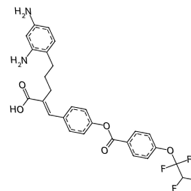 Nc1ccc(CCC/C(=C\c2ccc(OC(=O)c3ccc(OC(F)(F)C(F)F)cc3)cc2)C(=O)O)c(N)c1